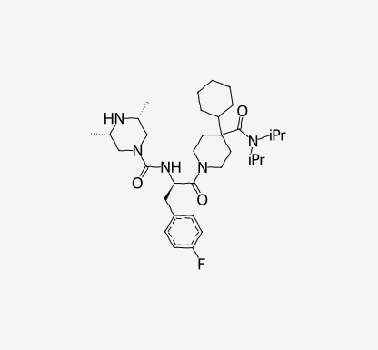 CC(C)N(C(=O)C1(C2CCCCC2)CCN(C(=O)[C@@H](Cc2ccc(F)cc2)NC(=O)N2C[C@@H](C)N[C@@H](C)C2)CC1)C(C)C